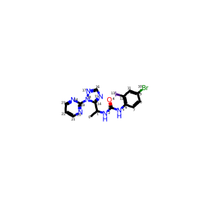 CC(NC(=O)Nc1ccc(Br)cc1I)c1ncnn1-c1ncccn1